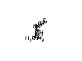 CC(C)(C)OC(=O)CC(O)CC(O)COc1ccc2ncnc(Nc3ccc(OCc4cccc(F)c4)c(Cl)c3)c2c1